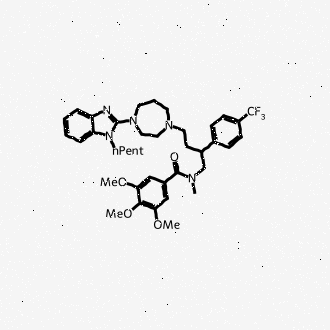 CCCCCn1c(N2CCCN(CCC(CN(C)C(=O)c3cc(OC)c(OC)c(OC)c3)c3ccc(C(F)(F)F)cc3)CC2)nc2ccccc21